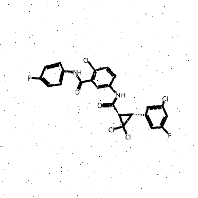 O=C(Nc1ccc(F)cc1)c1cc(NC(=O)[C@H]2[C@H](c3cc(F)cc(Cl)c3)C2(Cl)Cl)ccc1Cl